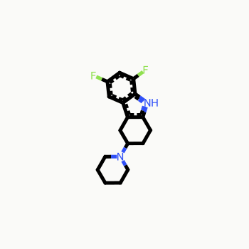 Fc1cc(F)c2[nH]c3c(c2c1)CC(N1CCCCC1)CC3